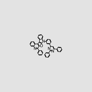 c1ccc(-c2cc(-c3cccc(-n4c5ccccc5c5c6c(oc54)c(-c4ccccc4)nc4ccccc46)c3)nc(-c3ccccc3)n2)cc1